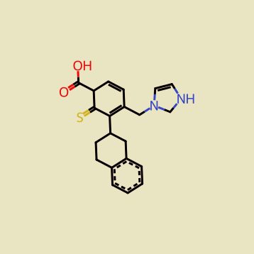 O=C(O)C1C=CC(CN2C=CNC2)=C(C2CCc3ccccc3C2)C1=S